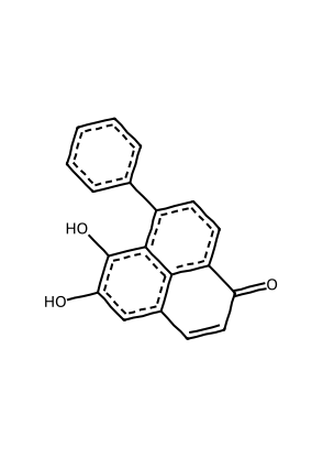 O=C1C=Cc2cc(O)c(O)c3c(-c4ccccc4)ccc1c23